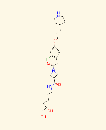 O=C(NCCCC[C@H](O)CO)C1CN(C(=O)Cc2ccc(OCCCC3CCNCC3)cc2F)C1